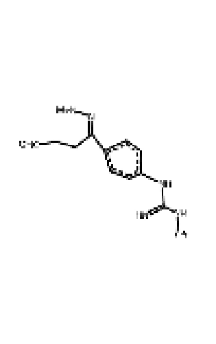 CCCNC(=N)Nc1ccc(/C(CCC=O)=N/NC)cc1